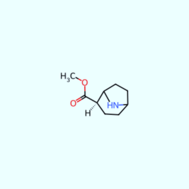 COC(=O)[C@@H]1CCC2CCC1CN2